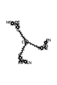 CCC(OCCCCCCCCCCOc1ccc(C(=CF)C(=O)Oc2ccc(C#N)cc2)cc1)(OCCCCCCCCCCOc1ccc(C(=CF)C(=O)Oc2ccc(C#N)cc2)cc1)OCCCCCCCCCCOc1ccc(C(=CF)C(=O)Oc2ccc(C#N)cc2)cc1